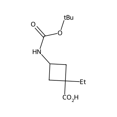 CCC1(C(=O)O)CC(NC(=O)OC(C)(C)C)C1